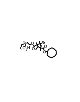 CC(C(C)(C)C(=O)OC1CCCCCCCCC1)C(C)(C(=O)OCC[N+](C)(C)CC(=O)O)C(C)(C)Br